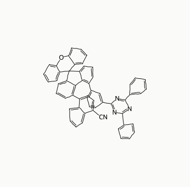 N#Cc1ccc(-c2cccc3c2-c2c(-c4cccc(-c5nc(-c6ccccc6)nc(-c6ccccc6)n5)c4)cccc2C32c3ccccc3Oc3ccccc32)c2ccccc12